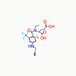 C#CCNc1ccc(C(=O)N(CC)[C@@](CC)(CCC(=O)O)C(=O)O)c(C(F)(F)F)c1